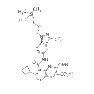 CCOC(=O)c1cc2ccc(C3CCC3)c(C(=O)Nc3ccc4c(c3)c(C(F)(F)F)nn4COCC[Si](C)(C)C)c2nc1OC